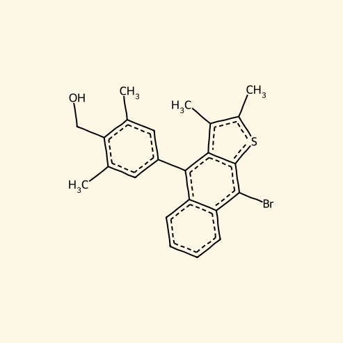 Cc1cc(-c2c3ccccc3c(Br)c3sc(C)c(C)c23)cc(C)c1CO